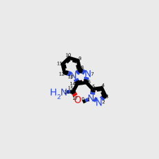 Cn1nccc1-c1nc2ccccn2c1C(N)=O